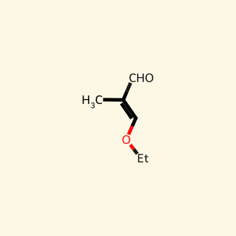 CCOC=C(C)C=O